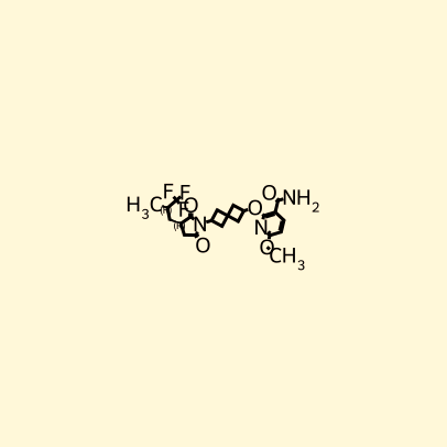 COc1ccc(C(N)=O)c(OC2CC3(C2)CC(N2C(=O)C[C@@H](C[C@@H](C)C(F)(F)F)C2=O)C3)n1